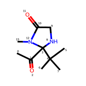 CC(=O)C1(C(C)(C)C)NCC(=O)N1C